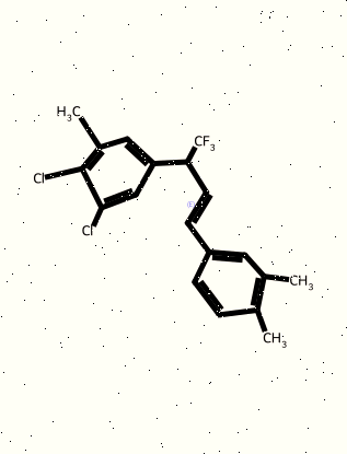 Cc1ccc(/C=C/C(c2cc(C)c(Cl)c(Cl)c2)C(F)(F)F)cc1C